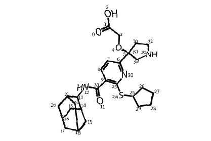 O=C(O)CO[C@@]1(c2ccc(C(=O)NC3C4CC5CC(C4)CC3C5)c(SC3CCCC3)n2)CCNC1